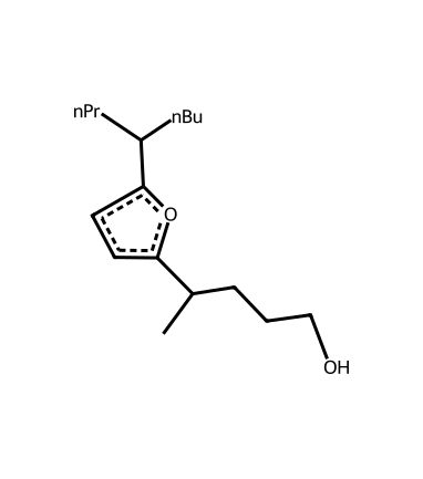 CCCCC(CCC)c1ccc(C(C)CCCO)o1